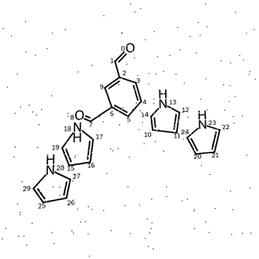 O=Cc1cccc(C=O)c1.c1cc[nH]c1.c1cc[nH]c1.c1cc[nH]c1.c1cc[nH]c1